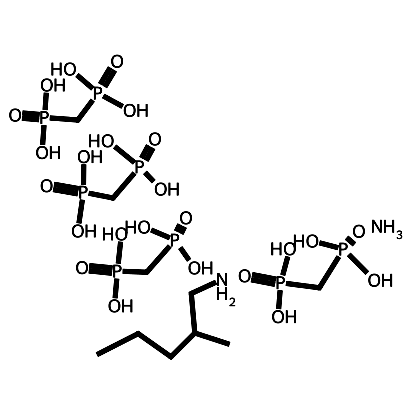 CCCC(C)CN.N.O=P(O)(O)CP(=O)(O)O.O=P(O)(O)CP(=O)(O)O.O=P(O)(O)CP(=O)(O)O.O=P(O)(O)CP(=O)(O)O